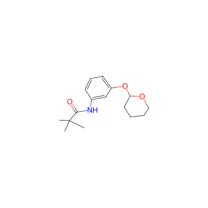 CC(C)(C)C(=O)Nc1cccc(OC2CCCCO2)c1